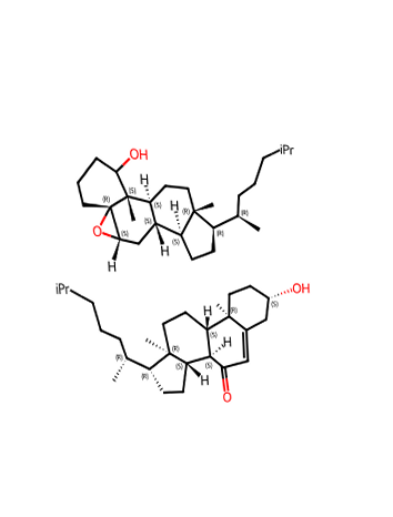 CC(C)CCC[C@@H](C)[C@H]1CC[C@H]2[C@@H]3C(=O)C=C4C[C@@H](O)CC[C@]4(C)[C@H]3CC[C@]12C.CC(C)CCC[C@@H](C)[C@H]1CC[C@H]2[C@@H]3C[C@@H]4O[C@@]45CCCC(O)[C@]5(C)[C@H]3CC[C@]12C